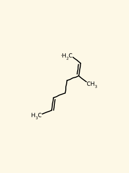 [CH2]C=C(C)CCC=CC